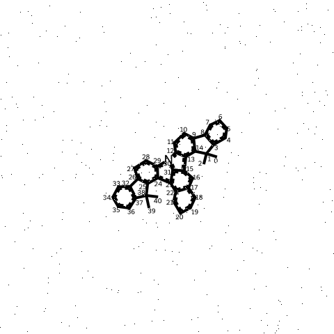 CC1(C)c2ccccc2-c2ccc3c(c21)c1cc2ccccc2c2c4c5c(ccc4n3c12)-c1ccccc1C5(C)C